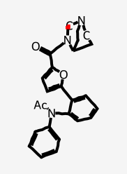 CC(=O)N(c1ccccc1)c1ccccc1-c1ccc(C(=O)N2CCN3CCC2CC3)o1